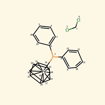 ClCCl.c1ccc(P(c2ccccc2)[C]23[CH]4[CH]5[CH]6[CH]2[Fe]56432789[CH]3[CH]2[CH]7[CH]8[CH]39)cc1